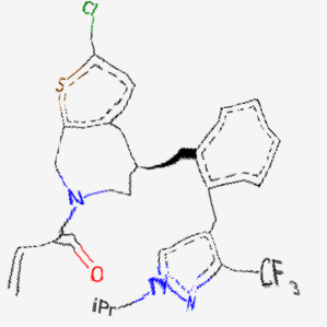 C=CC(=O)N1Cc2sc(Cl)cc2[C@@H](c2ccccc2-c2cn(C(C)C)nc2C(F)(F)F)C1